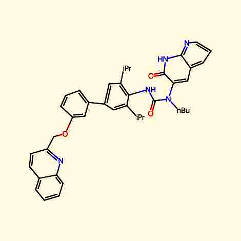 CCCCN(C(=O)Nc1c(C(C)C)cc(-c2cccc(OCc3ccc4ccccc4n3)c2)cc1C(C)C)c1cc2cccnc2[nH]c1=O